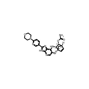 NC(=O)O[C@@H]1[C@H](Nc2c(Br)cnc3[nH]c(-c4ccc(N5CCOCC5)nc4)nc23)[C@H]2C=C[C@@H]1C2